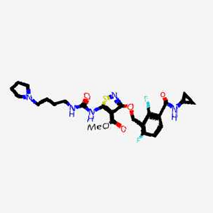 COC(=O)c1c(OCc2c(F)ccc(C(=O)NC3CC3)c2F)nsc1NC(=O)NCCCCN1CCCC1